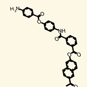 CC(=O)c1ccc2cc(OC(=O)c3cccc(C(=O)Nc4ccc(OC(=O)c5ccc(N)cc5)cc4)c3)ccc2c1